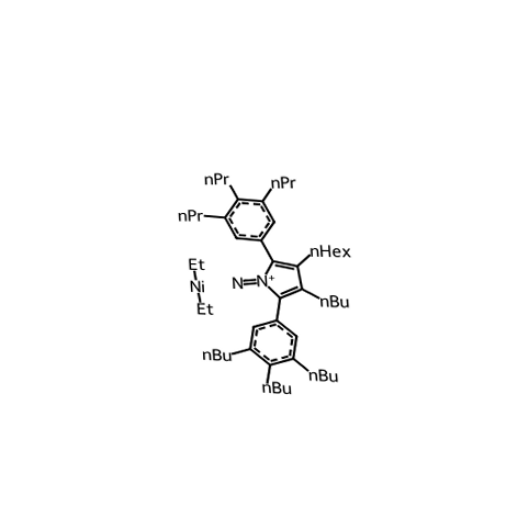 CCCCCCC1=C(c2cc(CCC)c(CCC)c(CCC)c2)[N+](=[N-])C(c2cc(CCCC)c(CCCC)c(CCCC)c2)=C1CCCC.C[CH2][Ni][CH2]C